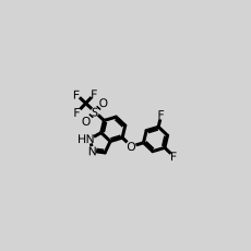 O=S(=O)(c1ccc(Oc2cc(F)cc(F)c2)c2cn[nH]c12)C(F)(F)F